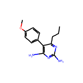 CCCc1nc(N)nc(N)c1-c1ccc(OC)cc1